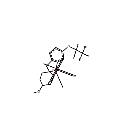 COC1CCC2(CC1)Cc1ccc(OC(F)(F)C(F)(F)Br)cc1C21NC(=O)N(C)C1=O